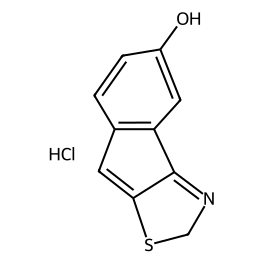 Cl.Oc1ccc2c(c1)C1=NCSC1=C2